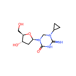 N=C1NC(=O)N([C@H]2C[C@H](O)[C@@H](CO)O2)CN1C1CC1